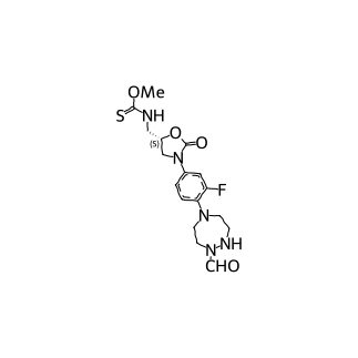 COC(=S)NC[C@H]1CN(c2ccc(N3CCNN(C=O)CC3)c(F)c2)C(=O)O1